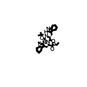 CCOC(=O)[C@@H](Cc1cn(C)c2ccccc12)NC(=O)[C@@H](Cc1cn(C)c2ccccc12)NC(=O)OC(C)(C)C